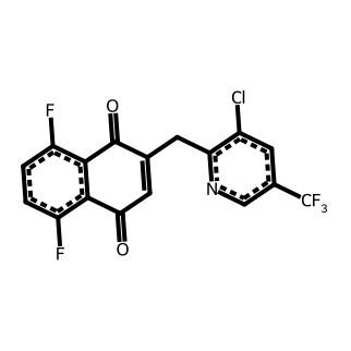 O=C1C=C(Cc2ncc(C(F)(F)F)cc2Cl)C(=O)c2c(F)ccc(F)c21